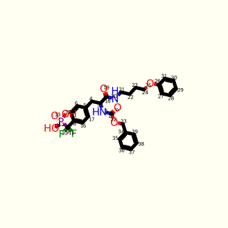 O=C(NC(Cc1ccc(C(F)(F)P(=O)(O)O)cc1)C(=O)NCCCCOc1ccccc1)OCc1ccccc1